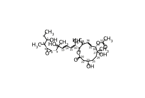 CCC(O)C(C)[C@@H]1O[C@H]1CC(C)(O)/C=C/C=C(\C)[C@H]1OC(=O)C[C@H](O)CC[C@@](C)(O)[C@@H](OC(C)=O)/C=C/[C@@H]1C